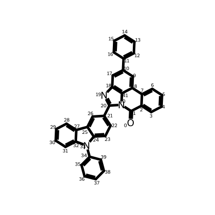 O=c1c2ccccc2c2cc(-c3ccccc3)cc3nc(-c4ccc5c(c4)c4ccccc4n5-c4ccccc4)n1c32